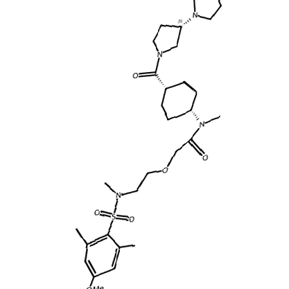 COc1cc(C)c(S(=O)(=O)N(C)CCOCC(=O)N(C)[C@H]2CC[C@@H](C(=O)N3CC[C@H](N4CCCC4)C3)CC2)c(C)c1